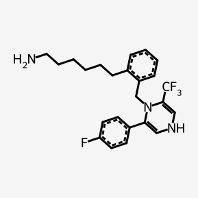 NCCCCCCc1ccccc1CN1C(c2ccc(F)cc2)=CNC=C1C(F)(F)F